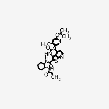 C=CC(=O)N[C@H]1CCCC[C@H]1NC(=O)c1sc2nccc3c2c1NC(=O)N3c1cnc(OC(C)C)cc1C